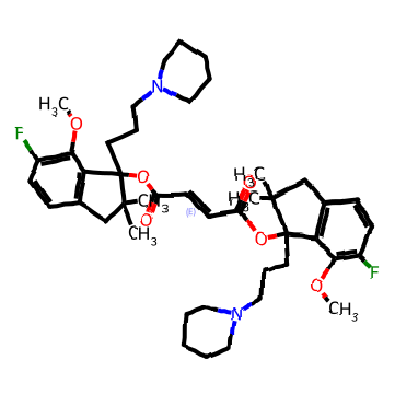 COc1c(F)ccc2c1C(CCCN1CCCCC1)(OC(=O)/C=C/C(=O)OC1(CCCN3CCCCC3)c3c(ccc(F)c3OC)CC1(C)C)C(C)(C)C2